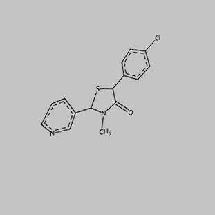 CN1C(=O)C(c2ccc(Cl)cc2)SC1c1cccnc1